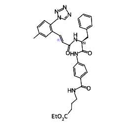 CCOC(=O)CCCNC(=O)c1ccc(NC(=O)[C@H](Cc2ccccc2)NC(=O)/C=C/c2cc(C)ccc2-n2cnnn2)cc1